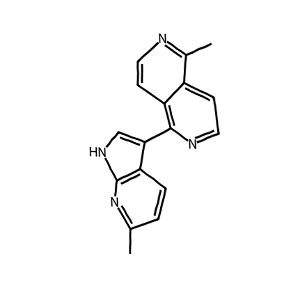 Cc1ccc2c(-c3nccc4c(C)nccc34)c[nH]c2n1